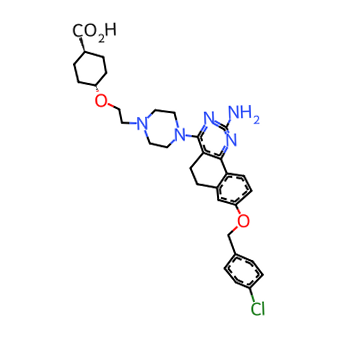 Nc1nc2c(c(N3CCN(CCO[C@H]4CC[C@H](C(=O)O)CC4)CC3)n1)CCc1cc(OCc3ccc(Cl)cc3)ccc1-2